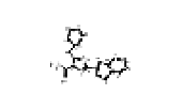 NC(=O)c1nc(-c2ccc3ncncc3c2)sc1Cc1ccccc1